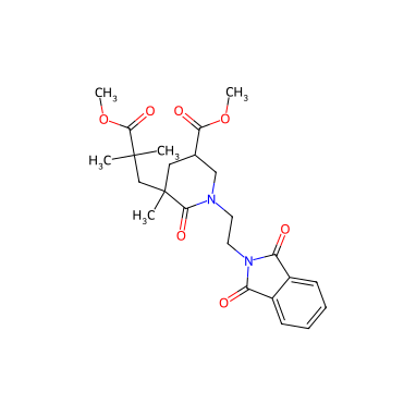 COC(=O)C1CN(CCN2C(=O)c3ccccc3C2=O)C(=O)C(C)(CC(C)(C)C(=O)OC)C1